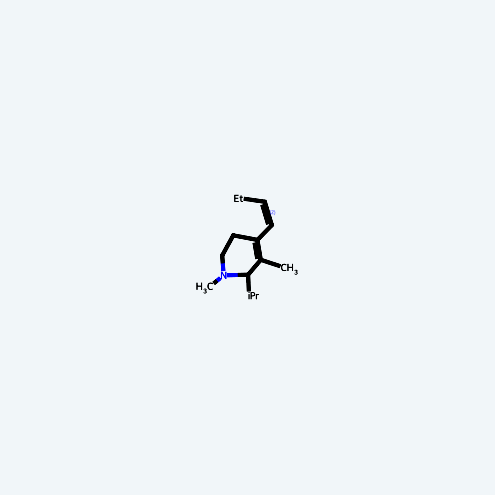 CC/C=C\C1=C(C)C(C(C)C)N(C)CC1